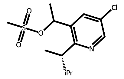 CC(OS(C)(=O)=O)c1cc(Cl)cnc1[C@@H](C)C(C)C